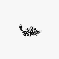 COc1c(NC(=O)C(=O)c2ccc(OCCN3CCOCC3)c3ccccc23)cc(C(C)(C)C)cc1C(=O)NC1CCNCC1